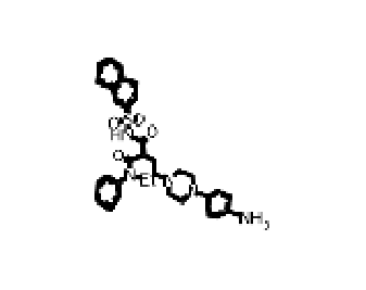 CCN(C(=O)C(CCN1CCN(c2ccc(N)cc2)CC1)C(=O)NS(=O)(=O)c1ccc2ccccc2c1)c1ccccc1